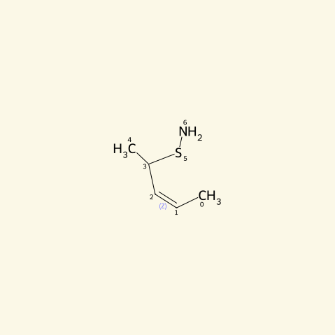 C/C=C\C(C)SN